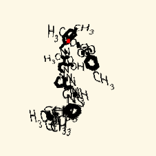 Cc1ccc(S(=O)(=O)OCCOC23CC4(C)CC(C)(CC(Cn5ncc(-c6ccc(N7CCCc8c7nnc(Nc7nc9cc(O[Si](C)(C)C(C)(C)C)ccc9s7)c8C)nc6C(=O)O)c5C)(C4)C2)C3)cc1